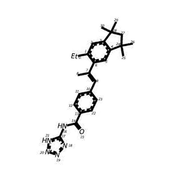 CCc1cc2c(cc1/C(C)=C/c1ccc(C(=O)Nc3nnn[nH]3)cc1)C(C)(C)CC2(C)C